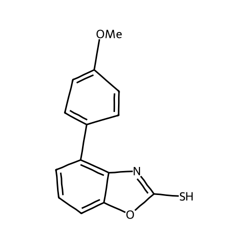 COc1ccc(-c2cccc3oc(S)nc23)cc1